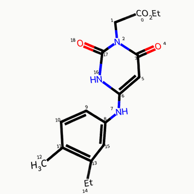 CCOC(=O)Cn1c(=O)cc(Nc2ccc(C)c(CC)c2)[nH]c1=O